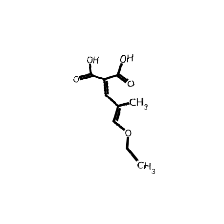 CCO/C=C(\C)C=C(C(=O)O)C(=O)O